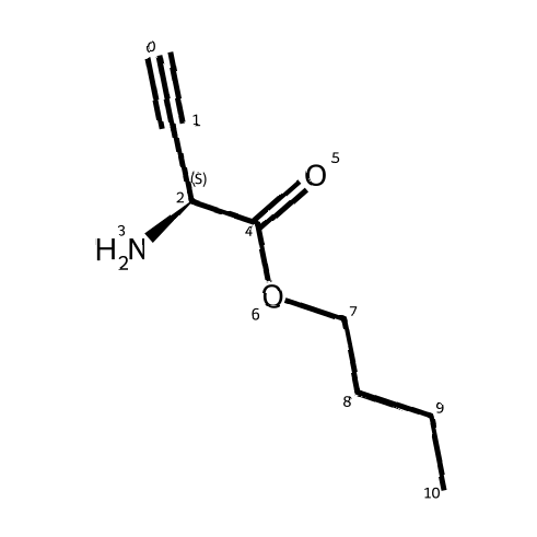 C#C[C@H](N)C(=O)OCCCC